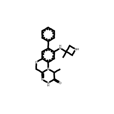 CC1C(=O)NN=C2COc3cc(-c4ccccc4)c(NC4(C)CNC4)cc3N21